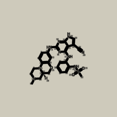 CN1CCN2c3ccc(Nc4nc(Nc5ccccc5NS(C)(=O)=O)c5c(C#N)c[nH]c5n4)cc3OC[C@H]2C1